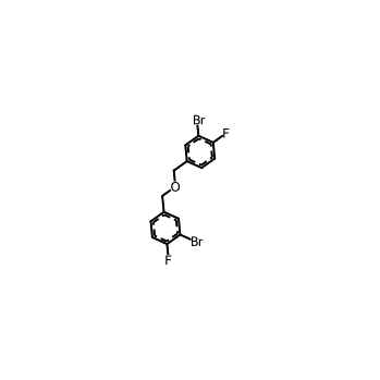 Fc1ccc(COCc2ccc(F)c(Br)c2)cc1Br